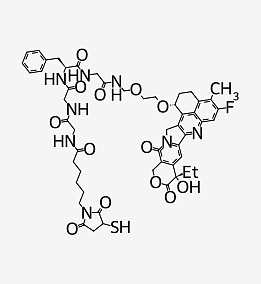 CC[C@@]1(O)C(=O)OCc2c1cc1n(c2=O)Cc2c-1nc1cc(F)c(C)c3c1c2[C@H](OCCOCNC(=O)CNC(=O)[C@H](Cc1ccccc1)NC(=O)CNC(=O)CNC(=O)CCCCCN1C(=O)CC(S)C1=O)CC3